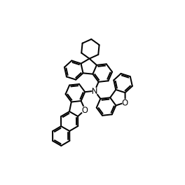 c1ccc2c(c1)-c1c(N(c3cccc4c3oc3cc5ccccc5cc34)c3cccc4oc5ccccc5c34)cccc1C21CCCCC1